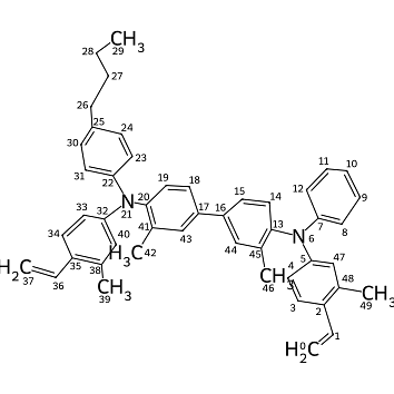 C=Cc1ccc(N(c2ccccc2)c2ccc(-c3ccc(N(c4ccc(CCCC)cc4)c4ccc(C=C)c(C)c4)c(C)c3)cc2C)cc1C